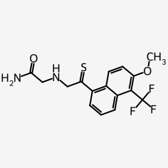 COc1ccc2c(C(=S)CNCC(N)=O)cccc2c1C(F)(F)F